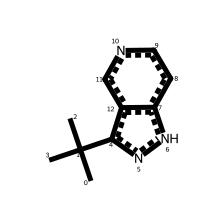 CC(C)(C)c1n[nH]c2ccncc12